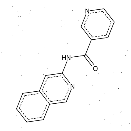 O=C(Nc1cc2ccccc2cn1)c1cccnc1